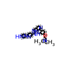 CN(C)CCOc1ccc(-c2nccc3cnc(Nc4ccc(N5CCNCC5)nc4)nc23)cc1